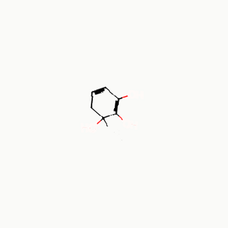 O=C(O)C1(O)CC=CC(O)=C1O